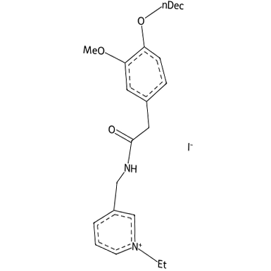 CCCCCCCCCCOc1ccc(CC(=O)NCc2ccc[n+](CC)c2)cc1OC.[I-]